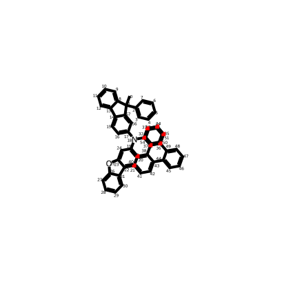 CC1(c2ccccc2)c2ccccc2-c2ccc(N(c3ccc4c(c3)oc3ccccc34)c3ccccc3-c3ccccc3-c3ccccc3-c3ccccc3)cc21